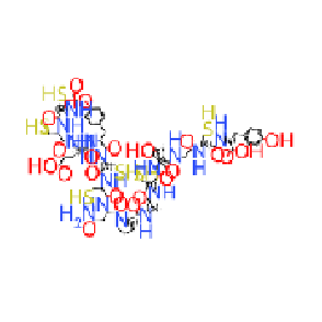 C[C@H](NC(=O)[C@@H]1CCCN1C(=O)C(CC(N)=O)NC(=O)C(CS)NC(=O)[C@H](CS)NC(=O)C(Cc1ccc(O)cc1)NC(=O)[C@H](CCC(=O)O)NC(=O)C(CS)NC(=O)[C@H](CS)NCC=O)C(=O)N[C@@H](CS)C(=O)N[C@H](C(=O)NCC(=O)N[C@@H](CS)C(=O)N[C@@H](Cc1ccc(O)cc1)C(=O)O)[C@@H](C)O